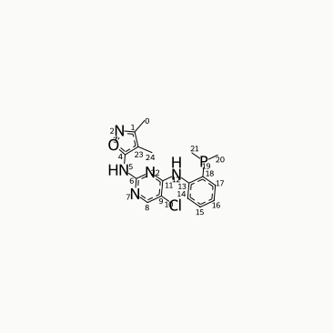 Cc1noc(Nc2ncc(Cl)c(Nc3ccccc3P(C)C)n2)c1C